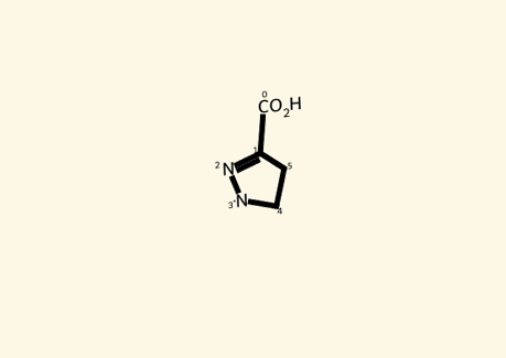 O=C(O)C1=N[N]CC1